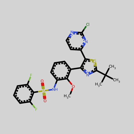 COc1c(NS(=O)(=O)c2c(F)cccc2F)cccc1-c1nc(C(C)(C)C)sc1-c1ccnc(Cl)n1